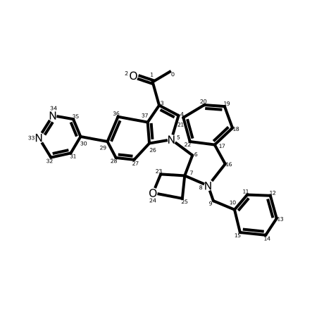 CC(=O)c1cn(CC2(N(Cc3ccccc3)Cc3ccccc3)COC2)c2ccc(-c3ccnnc3)cc12